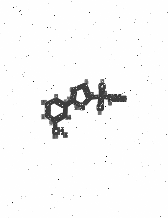 CNS(=O)(=O)c1ccc(-c2cccc(C)c2)s1